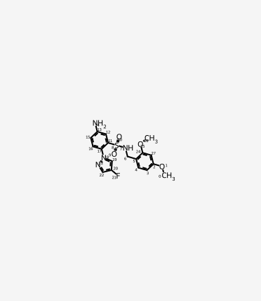 COc1ccc(CNS(=O)(=O)c2cc(N)ccc2-n2cc(F)cn2)c(OC)c1